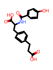 O=C(O)CCc1ccc(CC(NC(=O)c2ccc(O)cc2)C(=O)O)cc1